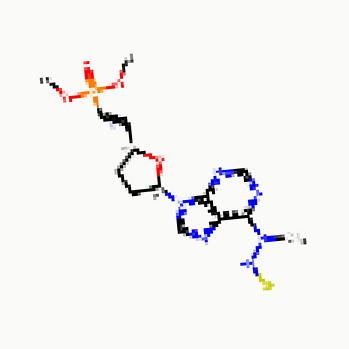 CCOP(=O)(/C=C/[C@@H]1CC[C@H](n2cnc3c(N(C)NS)ncnc32)O1)OCC